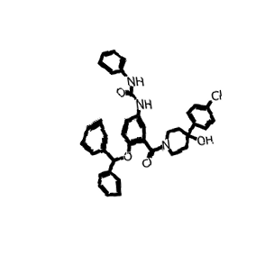 O=C(Nc1ccccc1)Nc1ccc(OC(c2ccccc2)c2ccccc2)c(C(=O)N2CCC(O)(c3ccc(Cl)cc3)CC2)c1